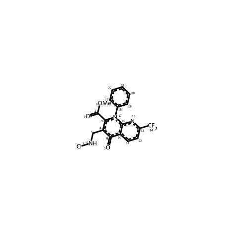 COC(=O)c1c(CNCl)c(=O)c2ccc(C(F)(F)F)nc2n1-c1ccccc1